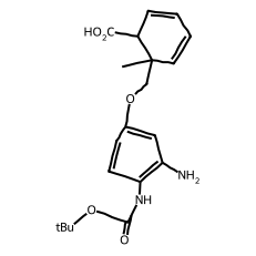 CC(C)(C)OC(=O)Nc1ccc(OCC2(C)C=CC=CC2C(=O)O)cc1N